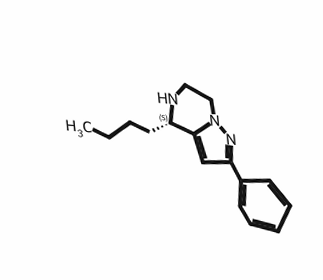 CCCC[C@@H]1NCCn2nc(-c3ccccc3)cc21